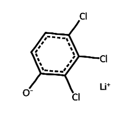 [Li+].[O-]c1ccc(Cl)c(Cl)c1Cl